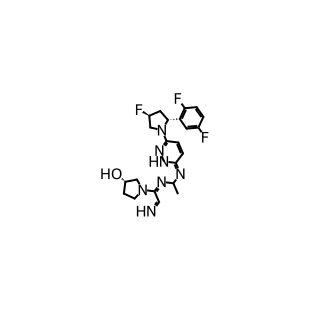 CC(/N=c1/ccc(N2C[C@@H](F)C[C@@H]2c2cc(F)ccc2F)n[nH]1)/N=C(\C=N)N1CC[C@H](O)C1